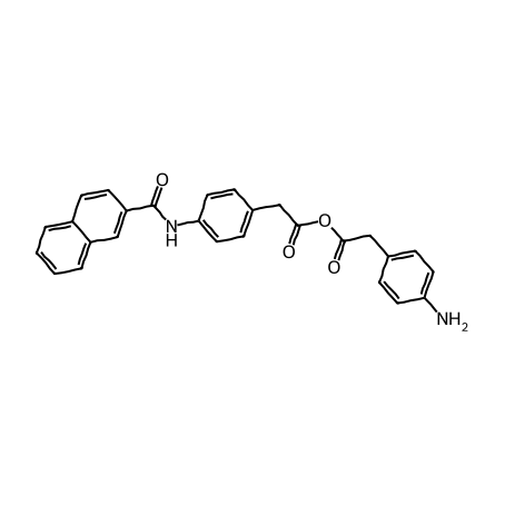 Nc1ccc(CC(=O)OC(=O)Cc2ccc(NC(=O)c3ccc4ccccc4c3)cc2)cc1